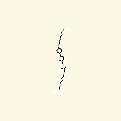 CCCCCCCCCCC1COC(c2ccc(-c3ccc(CCCCCCCCC)cc3)nc2)OC1